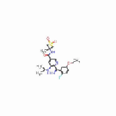 CCOc1ccc(F)c(C(=N)c2ncc(C(=O)NC3(C)CS(=O)(=O)C3)cc2NC(C)C)c1